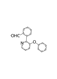 O=[C]c1ccccc1-c1ncccc1Oc1ccccc1